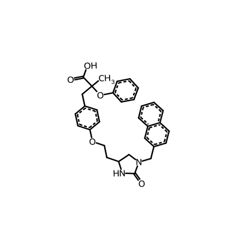 CC(Cc1ccc(OCCC2CN(Cc3ccc4ccccc4c3)C(=O)N2)cc1)(Oc1ccccc1)C(=O)O